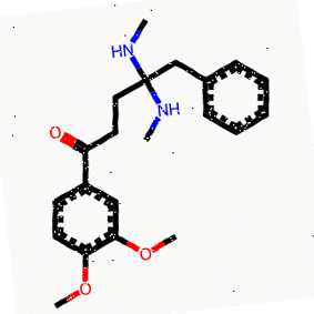 CNC(CCC(=O)c1ccc(OC)c(OC)c1)(Cc1ccccc1)NC